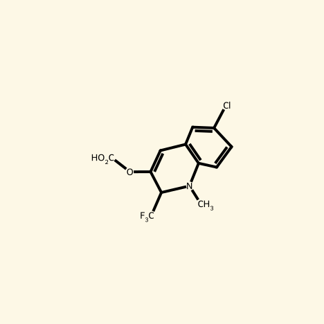 CN1c2ccc(Cl)cc2C=C(OC(=O)O)C1C(F)(F)F